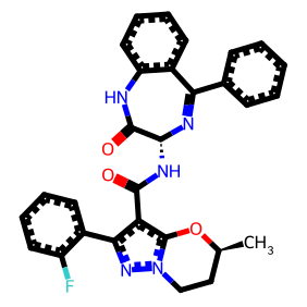 C[C@H]1CCn2nc(-c3ccccc3F)c(C(=O)N[C@H]3N=C(c4ccccc4)c4ccccc4NC3=O)c2O1